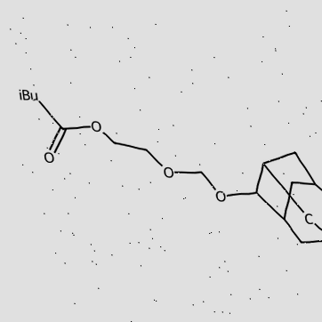 CCC(C)C(=O)OCCOCOC1C2CC3CC(C2)CC1C3